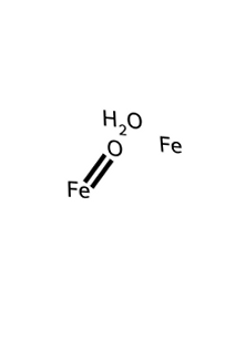 O.[Fe].[O]=[Fe]